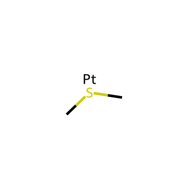 CSC.[Pt]